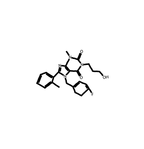 Cc1ccccc1-c1nc2c(c(=O)n(CCCO)c(=O)n2C)n1CC1=CC=C(F)CC1